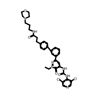 CCn1nc(-c2cccc(-c3ccc(CCC(=O)NCCCN4CCOCC4)cc3)c2)cc(NC(=O)Nc2c(Cl)cncc2Cl)c1=O